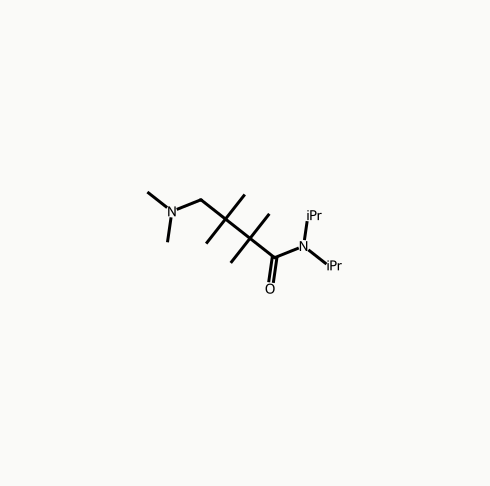 CC(C)N(C(=O)C(C)(C)C(C)(C)CN(C)C)C(C)C